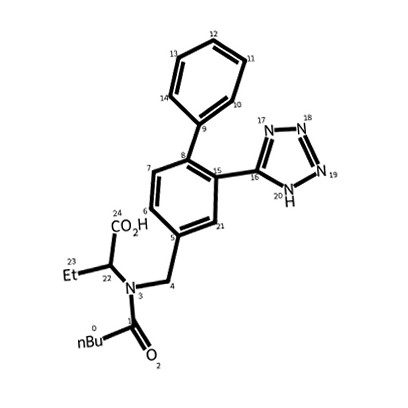 CCCCC(=O)N(Cc1ccc(-c2ccccc2)c(-c2nnn[nH]2)c1)C(CC)C(=O)O